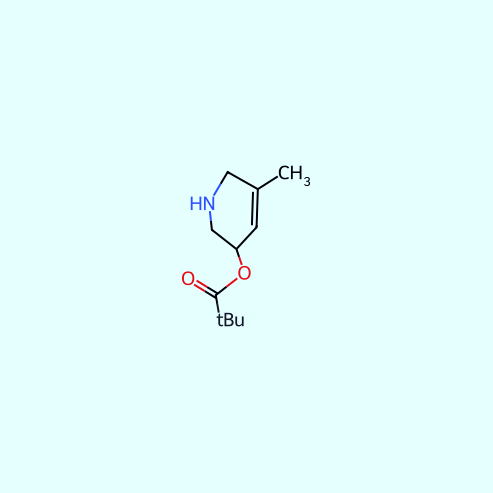 CC1=CC(OC(=O)C(C)(C)C)CNC1